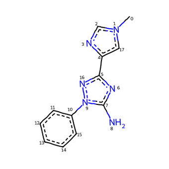 Cn1cnc(-c2nc(N)n(-c3ccccc3)n2)c1